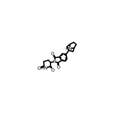 O=C1CCC(N2C(=O)c3ccc(C4CC5CCC(C4)N5)cc3C2=O)C(=O)N1